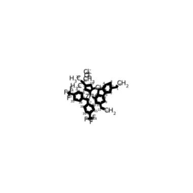 C=Cc1ccc2c(c1)-c1cc(C=C)c[c]([Zr+2]([C]3=CC(C(C)(C)C)=CC3C)=[C](c3ccc(C(F)(F)F)cc3)c3ccc(C(F)(F)F)cc3)c1C2.[Cl-].[Cl-]